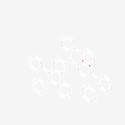 c1ccc(-c2ccc(N(c3ccc4c(-c5ccccc5)c(-c5ccccc5)c5ccccc5c4c3)c3ccccc3-c3ccccc3)cc2-c2ccccc2)cc1